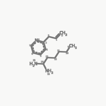 C=CCc1ccccn1.CCCCCC(N)N